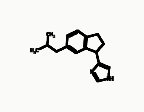 CC(C)Cc1ccc2c(c1)C(c1c[nH]cn1)CC2